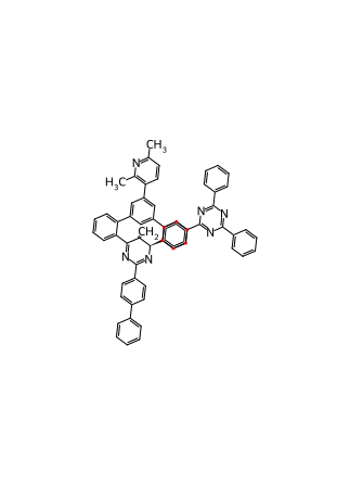 C=C1C(c2ccccc2-c2cc(-c3cccc(-c4nc(-c5ccccc5)nc(-c5ccccc5)n4)c3)cc(-c3ccc(C)nc3C)c2)=NC(c2ccc(-c3ccccc3)cc2)=N[C@@H]1c1ccccc1